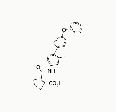 Cc1cc(NC(=O)C2=C(C(=O)O)CCC2)ccc1-c1ccc(Oc2ccccc2)cc1